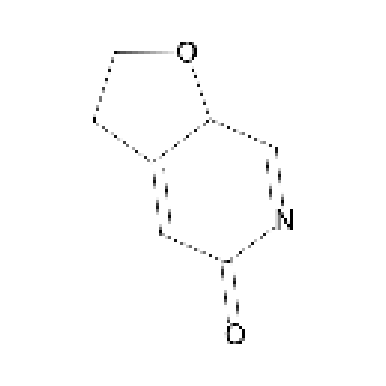 O=C1C=C2CCOC2C=N1